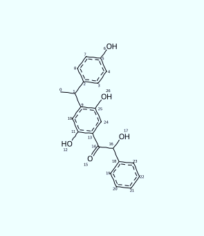 CC(c1ccc(O)cc1)c1cc(O)c(C(=O)C(O)c2ccccc2)cc1O